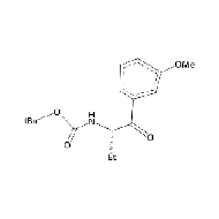 CC[C@H](NC(=O)OC(C)(C)C)C(=O)c1cccc(OC)c1